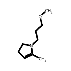 COCCCN1CCC=C1C